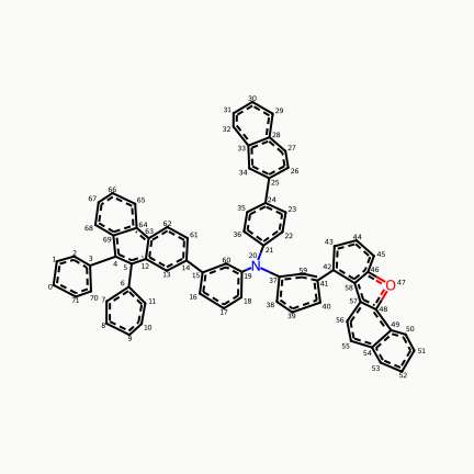 c1ccc(-c2c(-c3ccccc3)c3cc(-c4cccc(N(c5ccc(-c6ccc7ccccc7c6)cc5)c5cccc(-c6cccc7oc8c9ccccc9ccc8c67)c5)c4)ccc3c3ccccc23)cc1